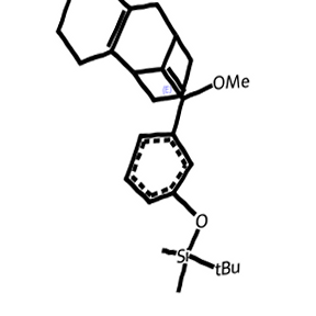 CO/C(=C1\C2CCCC1C1=C(CCCC1)C2)c1cccc(O[Si](C)(C)C(C)(C)C)c1